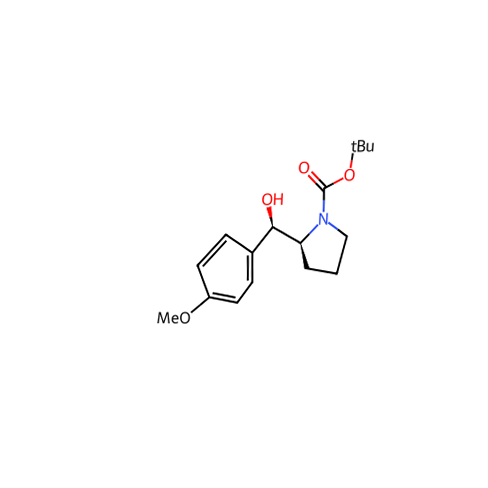 COc1ccc([C@@H](O)[C@@H]2CCCN2C(=O)OC(C)(C)C)cc1